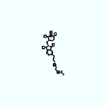 NCCOCCCc1ccc2c(c1)C(=O)C(CC1CCC(=O)NC1=O)C2=O